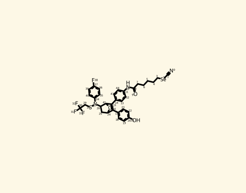 N#C[Se]CCCCCC(=O)Nc1ccc(C2=C(c3ccc(O)cc3)C3CC(N(SCC(F)(F)F)c4ccc(F)cc4)C2O3)cc1